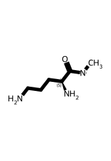 C[N]C(=O)[C@@H](N)CCCN